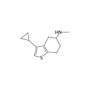 CNC1CCc2scc(C3CC3)c2C1